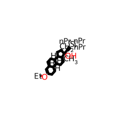 C=C1C[C@H]2[C@@H]3CC=C4C=C(OCC)CC[C@@H]4[C@H]3CC[C@]2(C)[C@]1(O)C#C[Si](CCC)(CCC)CCC